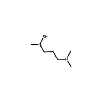 CN(C)CCCN(C)S